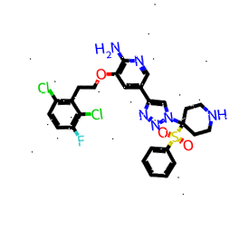 Nc1ncc(-c2cn(C3(S(=O)(=O)c4ccccc4)CCNCC3)nn2)cc1OCCc1c(Cl)ccc(F)c1Cl